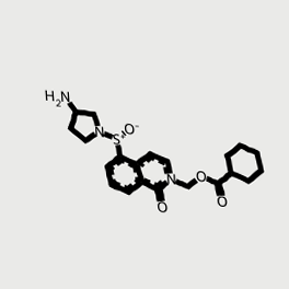 NC1CCN([S+]([O-])c2cccc3c(=O)n(COC(=O)C4CCCCC4)ccc23)C1